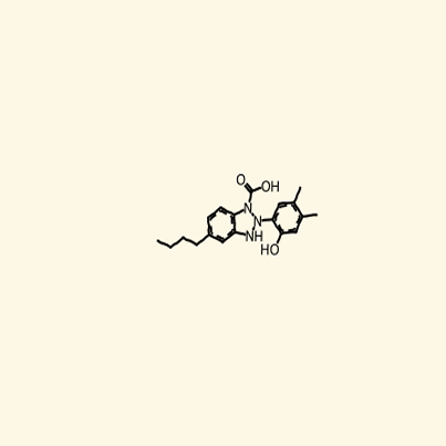 CCCCc1ccc2c(c1)NN(c1cc(C)c(C)cc1O)N2C(=O)O